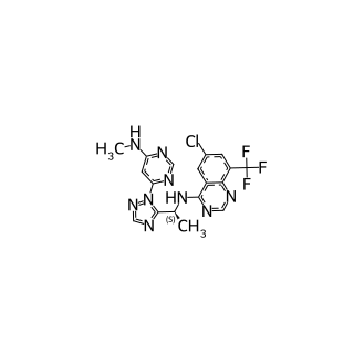 CNc1cc(-n2ncnc2[C@H](C)Nc2ncnc3c(C(F)(F)F)cc(Cl)cc23)ncn1